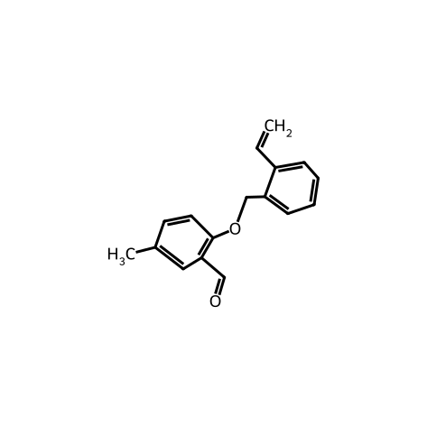 C=Cc1ccccc1COc1ccc(C)cc1C=O